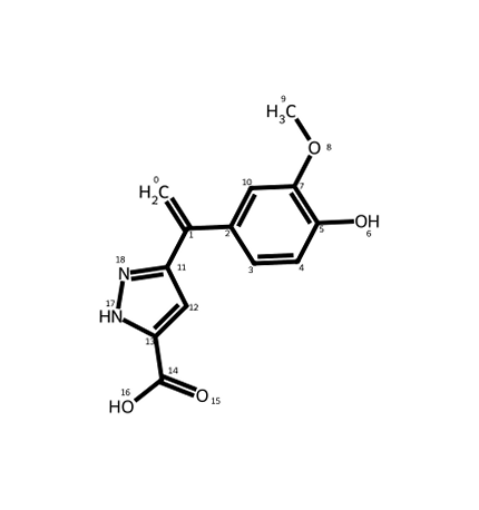 C=C(c1ccc(O)c(OC)c1)c1cc(C(=O)O)[nH]n1